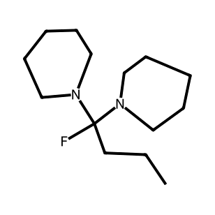 CCCC(F)(N1CCCCC1)N1CCCCC1